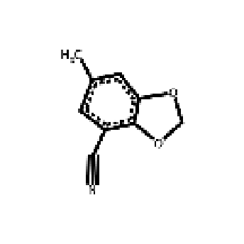 Cc1cc(C#N)c2c(c1)OCO2